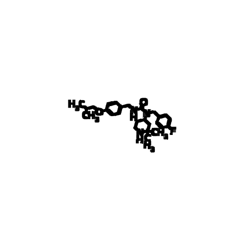 CC(C)COc1ccc(CNC(=O)N(Cc2ccc(F)cc2)[C@@H]2CCNC(C)(C)C2)cc1